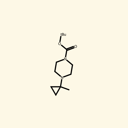 CC(C)(C)OC(=O)N1CCN(C2(C)CC2)CC1